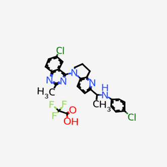 Cc1nc(N2CCCc3nc(C(C)Nc4ccc(Cl)cc4)ccc32)c2cc(Cl)ccc2n1.O=C(O)C(F)(F)F